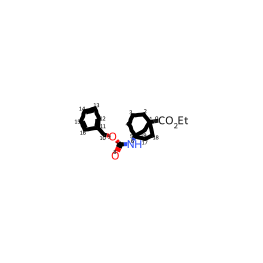 CCOC(=O)C12CCCC(NC(=O)OCc3ccccc3)(CC1)C2